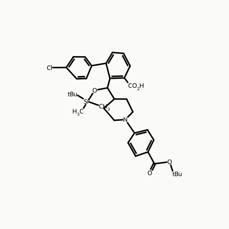 CC(C)(C)OC(=O)c1ccc(N2CCC(C(O[Si](C)(C)C(C)(C)C)c3c(C(=O)O)cccc3-c3ccc(Cl)cc3)CC2)cc1